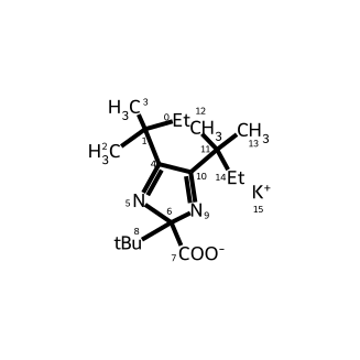 CCC(C)(C)C1=NC(C(=O)[O-])(C(C)(C)C)N=C1C(C)(C)CC.[K+]